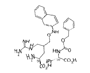 CC(C)[C@H](NC(=O)OCc1ccccc1)C(=O)O.N=C(N)NCC(CONc1ccc2ccccc2c1)C[C@H](N)C(=O)O